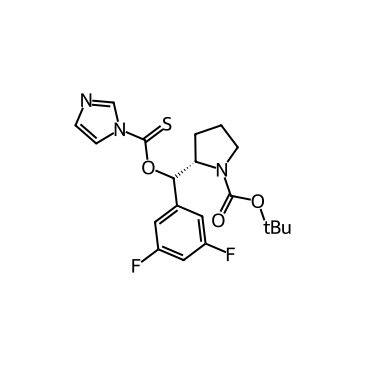 CC(C)(C)OC(=O)N1CCC[C@H]1C(OC(=S)n1ccnc1)c1cc(F)cc(F)c1